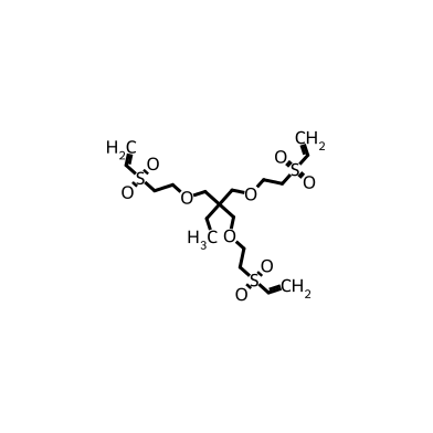 C=CS(=O)(=O)CCOCC(CC)(COCCS(=O)(=O)C=C)COCCS(=O)(=O)C=C